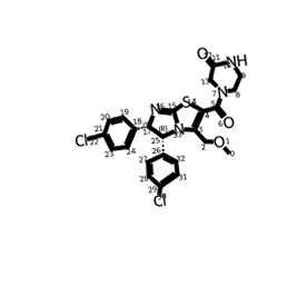 COCC1=C(C(=O)N2CCNC(=O)C2)SC2=N[C@@H](c3ccc(Cl)cc3)[C@@H](c3ccc(Cl)cc3)N21